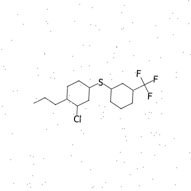 CCCC1CCC(SC2CCCC(C(F)(F)F)C2)CC1Cl